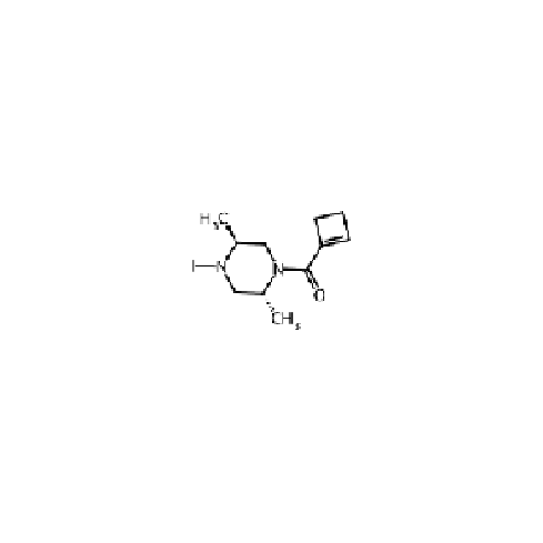 C[C@@H]1CN(I)[C@@H](C)CN1C(=O)C1=CCC1